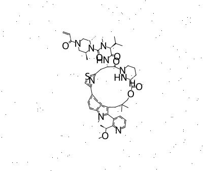 C=CC(=O)N1C[C@H](C)N(C(=O)N(C)[C@H](C(=O)N[C@H]2Cc3nc(cs3)-c3ccc4c(c3)c(c(-c3cccnc3[C@H](C)OC)n4C)CC(C)(C)COC(=O)[C@@H]3CCCN(N3)C2=O)C(C)C)[C@@H](C)C1